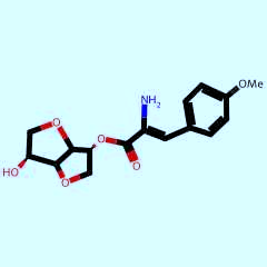 COc1ccc(/C=C(\N)C(=O)O[C@@H]2COC3C2OC[C@@H]3O)cc1